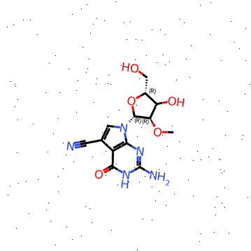 CO[C@@H]1C(O)[C@@H](CO)O[C@H]1n1cc(C#N)c2c(=O)[nH]c(N)nc21